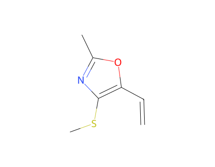 C=Cc1oc(C)nc1SC